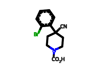 N#CC1(c2ccccc2Br)CCN(C(=O)O)CC1